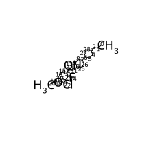 CCC[C@H]1CC[C@H](C2CCC(CC(O)c3ccc(OCC)c(Cl)c3F)CC2)CC1